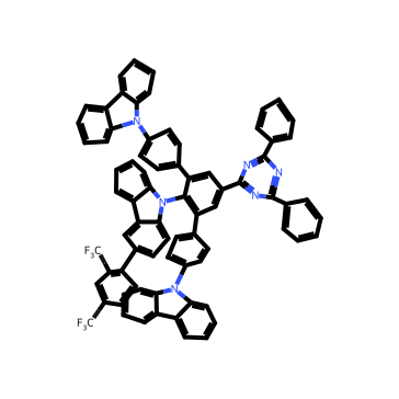 FC(F)(F)c1ccc(-c2ccc3c(c2)c2ccccc2n3-c2c(-c3ccc(-n4c5ccccc5c5ccccc54)cc3)cc(-c3nc(-c4ccccc4)nc(-c4ccccc4)n3)cc2-c2ccc(-n3c4ccccc4c4ccccc43)cc2)c(C(F)(F)F)c1